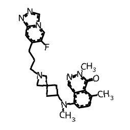 Cc1ccc(N(C)C2CC3(C2)CN(CCCc2cc4nncn4cc2F)C3)c2cnn(C)c(=O)c12